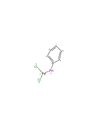 [Cl][Pd]([Cl])[PH]c1ccccc1